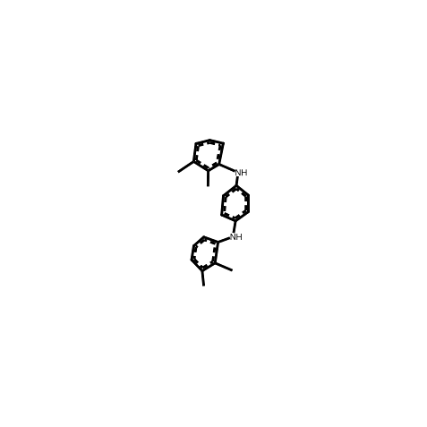 Cc1cccc(Nc2ccc(Nc3cccc(C)c3C)cc2)c1C